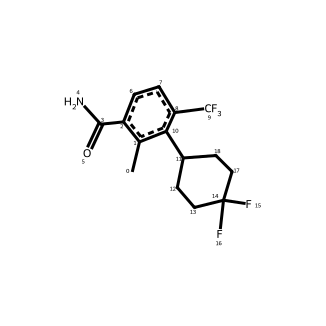 Cc1c(C(N)=O)ccc(C(F)(F)F)c1C1CCC(F)(F)CC1